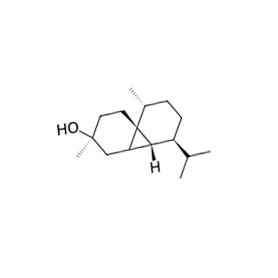 CC(C)[C@@H]1CC[C@@H](C)[C@@]23CC[C@](C)(O)CC2[C@@H]13